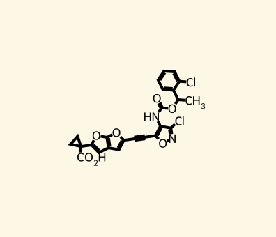 CC(OC(=O)Nc1c(Cl)noc1C#Cc1cc2cc(C3(C(=O)O)CC3)oc2o1)c1ccccc1Cl